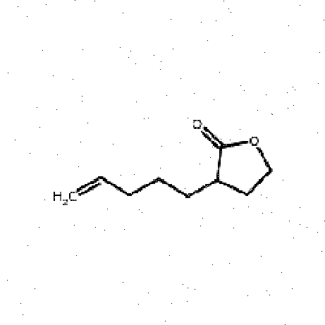 C=CCCCC1CCOC1=O